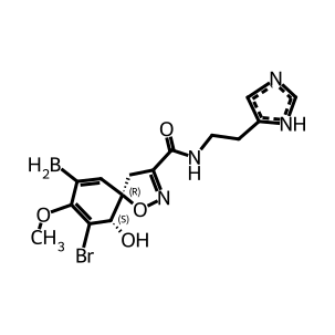 BC1=C[C@]2(CC(C(=O)NCCc3cnc[nH]3)=NO2)[C@H](O)C(Br)=C1OC